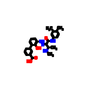 CNC(C)/C(=N/Nc1cccc(-c2cccc(C(=O)O)c2)c1O)C(=O)Nc1ccc(C)c(C)c1